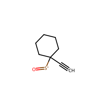 C#CC1([S+]=O)CCCCC1